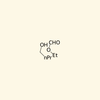 CCCCO.CCOC=O